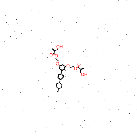 C=C(CO)C(=O)OCCOc1cc(OCCOC(=O)C(=C)CO)cc(-c2ccc(C3CCC(C)CC3)cc2)c1